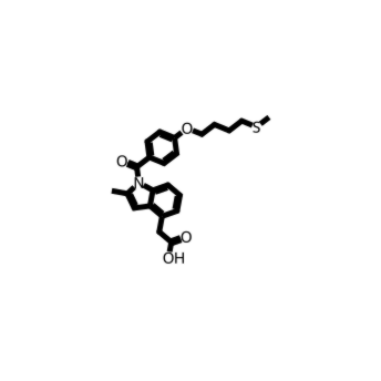 CSCCCCOc1ccc(C(=O)n2c(C)cc3c(CC(=O)O)cccc32)cc1